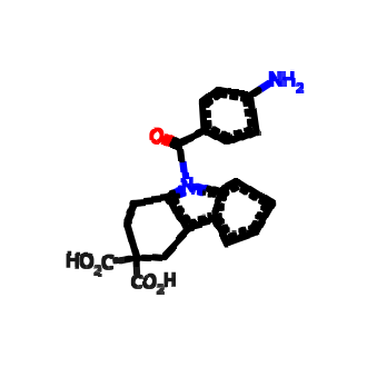 Nc1ccc(C(=O)n2c3c(c4ccccc42)CC(C(=O)O)(C(=O)O)CC3)cc1